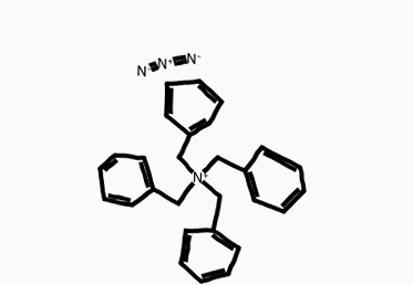 [N-]=[N+]=[N-].c1ccc(C[N+](Cc2ccccc2)(Cc2ccccc2)Cc2ccccc2)cc1